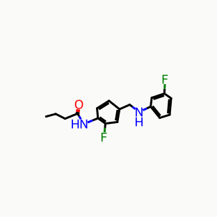 CCCC(=O)Nc1ccc(CNc2cccc(F)c2)cc1F